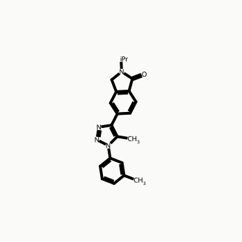 Cc1cccc(-n2nnc(-c3ccc4c(c3)CN(C(C)C)C4=O)c2C)c1